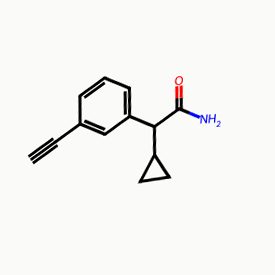 C#Cc1cccc(C(C(N)=O)C2CC2)c1